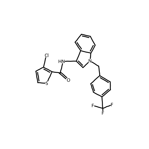 O=C(Nc1cn(Cc2ccc(C(F)(F)F)cc2)c2ccccc12)c1sccc1Cl